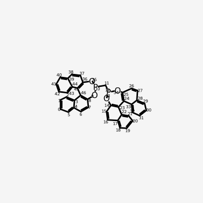 c1ccc2c(c1)ccc1op(Cp3oc4ccc5ccccc5c4c4c(ccc5ccccc54)o3)oc3ccc4ccccc4c3c12